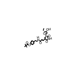 CC[C@H]1O[C@@H](n2cc(/C=C/C(=O)NCCc3ccc(OC(=O)C(C)(C)C)cc3)c(=O)[nH]c2=O)C[C@H]1O